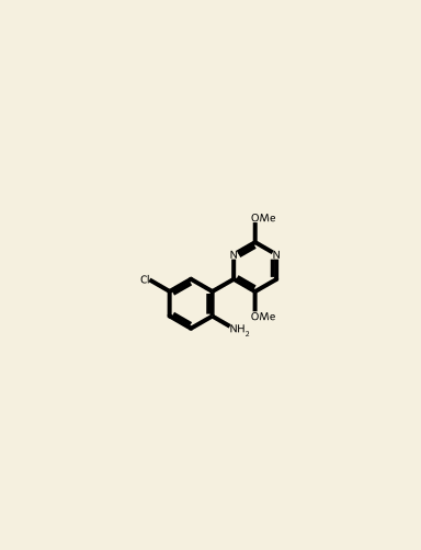 COc1ncc(OC)c(-c2cc(Cl)ccc2N)n1